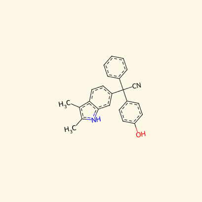 Cc1[nH]c2cc(C(C#N)(c3ccccc3)c3ccc(O)cc3)ccc2c1C